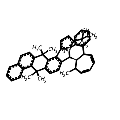 Cc1ccccc1C1C=CC=CC(C)[C@H]1C1c2ccc3c(c2-c2ccc(C(C)(C)C)n21)C(C)(C)c1ccc2ccccc2c1C3(C)C